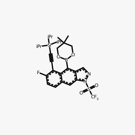 CC(C)[Si](C#Cc1c(F)ccc2cc3c(cnn3S(=O)(=O)C(F)(F)F)c(B3OCC(C)(C)CO3)c12)(C(C)C)C(C)C